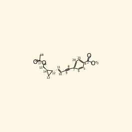 COC(=O)c1ccc(C#CC=C[C@@H]2C[C@H]2COC(C)=O)cc1